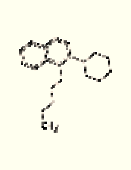 [CH2]CCCCc1c(C2CCCCC2)ccc2ccccc12